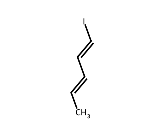 CC=CC=CI